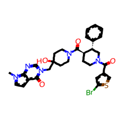 Cn1ccc2c(=O)n(CC3(O)CCN(C(=O)[C@@H]4CCN(C(=O)c5csc(Br)c5)C[C@H]4c4ccccc4)CC3)cnc21